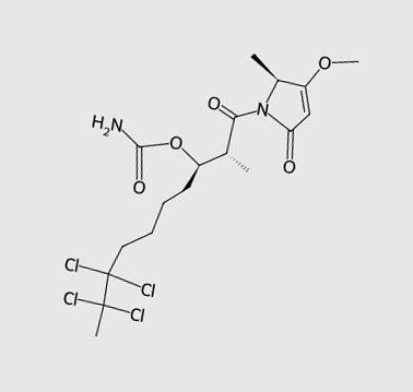 COC1=CC(=O)N(C(=O)[C@H](C)[C@@H](CCCCC(Cl)(Cl)C(C)(Cl)Cl)OC(N)=O)[C@H]1C